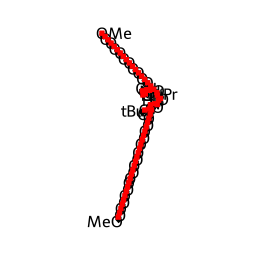 COCCOCCOCCOCCOCCOCCOCCOCCOCCOCCOCCN(CCC(=O)N[C@H](C(=O)N[C@@H](C)C(=O)Nc1ccc(COC(=O)C(C)(C)C)c(CCCOCCOCCOCCOCCOCCCOCCOCCOCCOCCOCOCCOCCOCCOCCOCCOCCOC)c1)C(C)C)C(=O)CN1C(=O)C=CC1=O